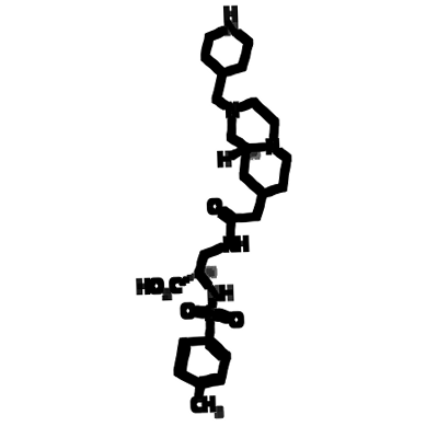 Cc1ccc(S(=O)(=O)N[C@@H](CNC(=O)CC2CCN3CCN(CC4CCNCC4)C[C@H]3C2)C(=O)O)cc1